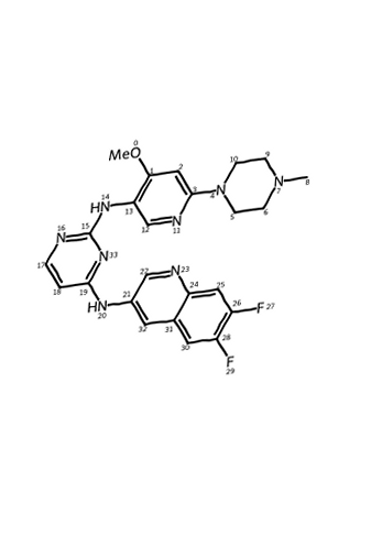 COc1cc(N2CCN(C)CC2)ncc1Nc1nccc(Nc2cnc3cc(F)c(F)cc3c2)n1